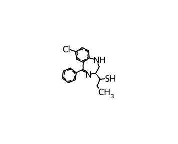 CCC(S)[C@@H]1CNc2ccc(Cl)cc2C(c2ccccc2)=N1